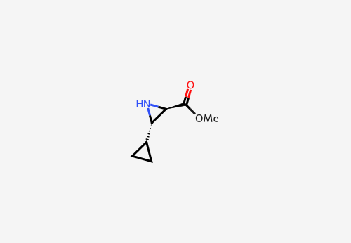 COC(=O)[C@@H]1N[C@H]1C1CC1